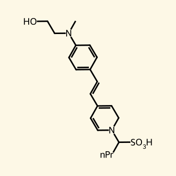 CCCC(N1C=CC(/C=C/c2ccc(N(C)CCO)cc2)=CC1)S(=O)(=O)O